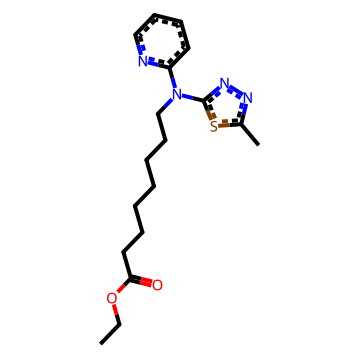 CCOC(=O)CCCCCCCN(c1ccccn1)c1nnc(C)s1